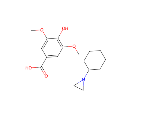 C1CCC(N2CC2)CC1.COc1cc(C(=O)O)cc(OC)c1O